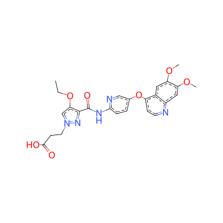 CCOc1cn(CCC(=O)O)nc1C(=O)Nc1ccc(Oc2ccnc3cc(OC)c(OC)cc23)cn1